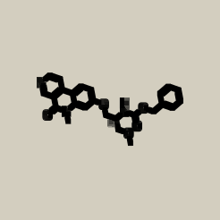 COC[C@@H](COc1ccc2c3ccncc3c(=O)n(C)c2c1)NC(=O)OCc1ccccc1